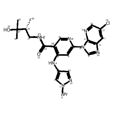 CCCn1cc(Nc2cc(-n3cnc4cc(Cl)cnc43)ncc2C(=O)NC[C@@H](F)C(C)(C)O)cn1